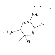 CCC1=CC(C)(CC)C(N)C=C1N